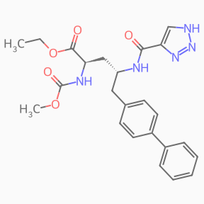 CCOC(=O)[C@@H](C[C@@H](Cc1ccc(-c2ccccc2)cc1)NC(=O)c1c[nH]nn1)NC(=O)OC